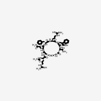 CC(=O)N[C@@H](CCCNC(=N)N)C(=O)N[C@H]1CCCCNC(=O)CC(C(N)=O)NC(=O)[C@H](Cc2c[nH]c3ccccc23)NC(=O)[C@H](CCCNC(=N)N)NC(=O)[C@@H](Cc2ccccc2)NC(=O)[C@H](CCC(N)=O)NC1=O